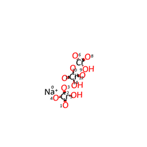 [Na+].[O]=[Cr](=[O])([O-])[OH].[O]=[Cr](=[O])([OH])[O][Cr](=[O])(=[O])[OH]